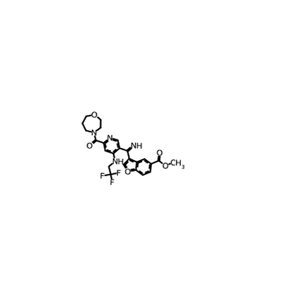 COC(=O)c1ccc2occ(C(=N)c3cnc(C(=O)N4CCCOCC4)cc3NCC(F)(F)F)c2c1